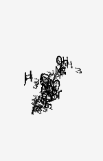 Cc1ccc(-c2ccnc(C(C)CO)n2)cc1-n1c(C)nc(OCc2ccc(F)cc2F)c(Br)c1=O